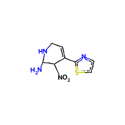 NC1NCC=C(c2nccs2)C1[N+](=O)[O-]